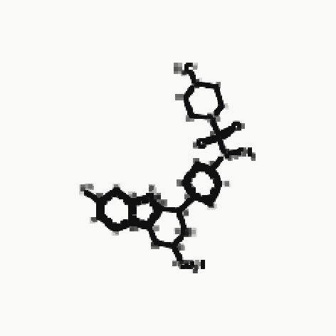 CN1CCN(S(=O)(=O)N(C)c2ccc(C3NC(C(=O)O)Cc4c3[nH]c3cc(F)ccc43)cc2)CC1